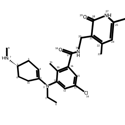 CCN(C1=CC[C@@H](NC)CC1)c1cc(Cl)cc(C(=O)NCc2c(C)cc(C)[nH]c2=O)c1C